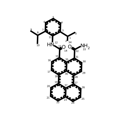 CC(C)c1cccc(C(C)C)c1NC(=O)c1ccc2c3cccc4cccc(c5ccc(C(N)=O)c1c52)c43